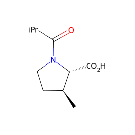 CC(C)C(=O)N1CC[C@H](C)[C@H]1C(=O)O